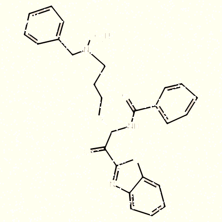 O=C(N[C@@H](CCCCN(Cc1ccccc1)C(=O)O)C(=O)c1nc2ccccc2s1)c1ccccc1